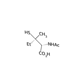 CC[C@@](C)(S)[C@H](NC(C)=O)C(=O)O